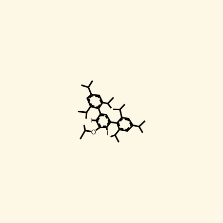 CC(C)Oc1c(I)c(-c2c(C(C)C)cc(C(C)C)cc2C(C)C)cc(-c2c(C(C)C)cc(C(C)C)cc2C(C)C)c1I